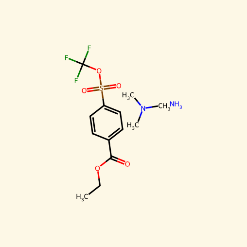 CCOC(=O)c1ccc(S(=O)(=O)OC(F)(F)F)cc1.CN(C)C.N